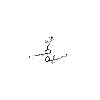 CCCCCNC(=O)N(C)c1cccc(-c2ccc(CCC(=O)OC)cc2OCCCC)n1